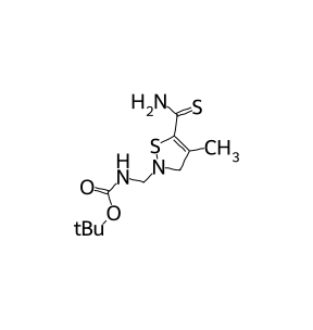 CC1=C(C(N)=S)SN(CNC(=O)OC(C)(C)C)C1